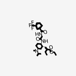 CCOC(=O)/C(=C/[C@@H]1C[C@H](N(C)C(C)C)CC[C@@H]1NC(=O)CNC(=O)c1cccc(C(F)(F)F)c1)CC